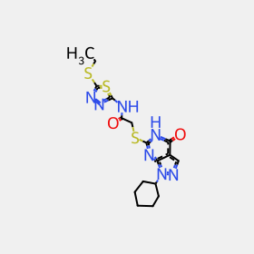 CCSc1nnc(NC(=O)CSc2nc3c(cnn3C3CCCCC3)c(=O)[nH]2)s1